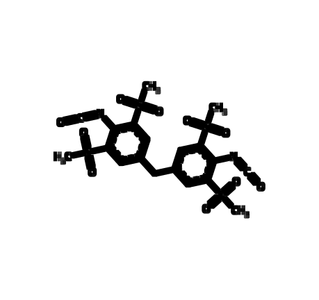 CS(=O)(=O)c1cc(Cc2cc(S(C)(=O)=O)c(N=C=O)c(S(C)(=O)=O)c2)cc(S(C)(=O)=O)c1N=C=O